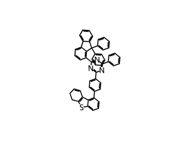 C1=Cc2c(sc3cccc(-c4ccc(-c5nc(-c6ccccc6)nc(-c6cccc7c6C(c6ccccc6)(c6ccccc6)c6ccccc6-7)n5)cc4)c23)CC1